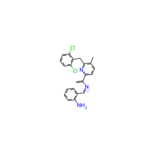 C=C(/N=C\c1ccccc1N)c1ccc(C)c(Cc2c(Cl)cccc2Cl)n1